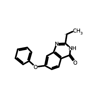 C[CH]c1nc2cc(Oc3ccccc3)ccc2c(=O)[nH]1